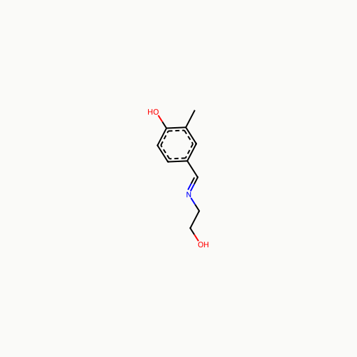 Cc1cc(C=NCCO)ccc1O